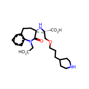 O=C(O)CN1C(=O)[C@@H](N[C@@H](COCCCC2CCNCC2)C(=O)O)CCc2ccccc21